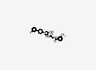 O=C(CNC(=O)c1cccc(C(F)(F)F)c1)N[C@H]1CN(C2CCC(c3cccc(F)c3)CC2)C[C@@H]1O